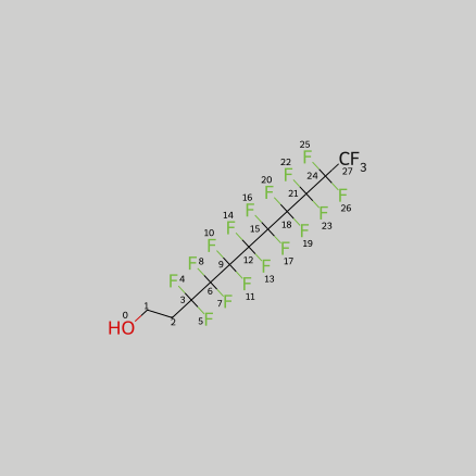 OCCC(F)(F)C(F)(F)C(F)(F)C(F)(F)C(F)(F)C(F)(F)C(F)(F)C(F)(F)C(F)(F)F